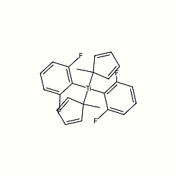 C[C]1([Ti]([c]2c(F)cccc2F)([c]2c(F)cccc2F)[C]2(C)C=CC=C2)C=CC=C1